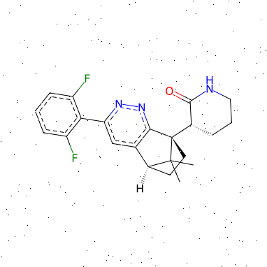 CC1(C)[C@H]2CC[C@]1([C@H]1CCCNC1=O)c1nnc(-c3c(F)cccc3F)cc12